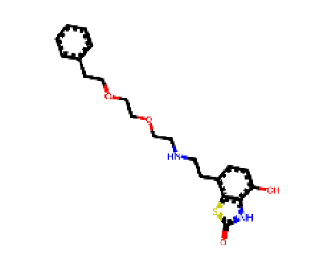 O=c1[nH]c2c(O)ccc(CCNCCOCCOCCc3ccccc3)c2s1